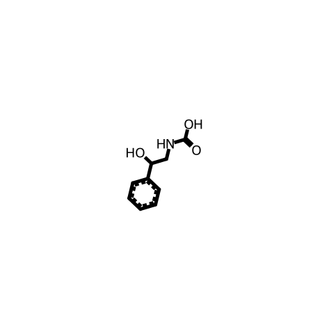 O=C(O)NCC(O)c1ccccc1